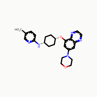 O=C(O)c1ccc(N[C@H]2CC[C@@H](Oc3cc(N4CCOCC4)cc4nccnc34)CC2)nc1